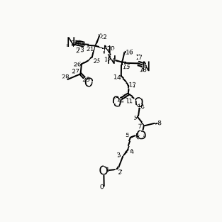 COCCCCOC(C)COC(=O)CCC(C)(C#N)N=NC(C)(C#N)CCC(C)=O